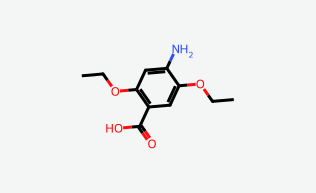 CCOc1cc(C(=O)O)c(OCC)cc1N